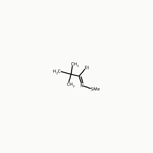 CC/C(=N\SC)C(C)(C)C